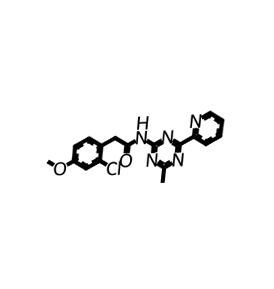 COc1ccc(CC(=O)Nc2nc(C)nc(-c3ccccn3)n2)c(Cl)c1